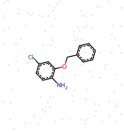 Nc1ccc(Cl)cc1OCc1ccccc1